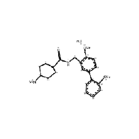 CNC1CCC(C(=O)NCc2cc(-c3ccccc3SC)ccc2OC)CC1.Cl